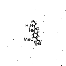 COc1cc(NC(=O)C(N)CC(C)C)c(F)cc1-c1cnco1